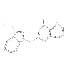 Cc1cc(Cc2nn(C)c3ccccc23)cc2cccnc12